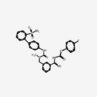 CN(Cc1cccc(C(=N)NC(=O)Oc2ccc(F)cc2)c1)C(=O)Nc1ccc(-c2ccccc2S(N)(=O)=O)cc1